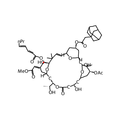 CCC/C=C/C=C/C(=O)O[C@H]1/C(=C/C(=O)OC)C[C@H]2C[C@H]([C@@H](C)O)OC(=O)C[C@H](O)CC3C[C@H](OC(C)=O)C(C)(C)[C@](O)(C[C@@H]4C[C@H](OC(=O)CC56CC7CC(CC(C7)C5)C6)C[C@H](/C=C/C(C)(C)[C@]1(O)O2)O4)O3